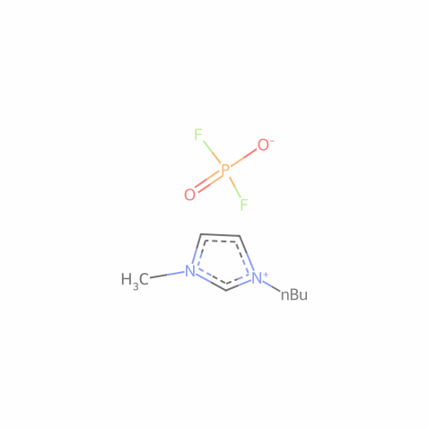 CCCC[n+]1ccn(C)c1.O=P([O-])(F)F